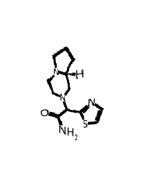 NC(=O)C(c1nccs1)N1CCN2CCC[C@@H]2C1